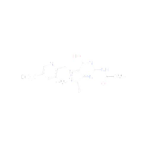 CCOC(=O)c1cnc(Cn2nc(Br)c3nc(NC(=O)OC)nc(O)c32)c(OC)c1